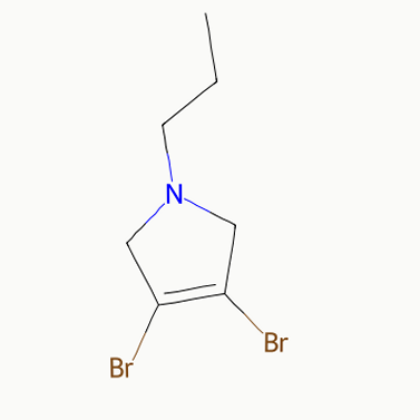 CCCN1CC(Br)=C(Br)C1